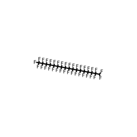 FC(F)C(F)(F)C(F)(F)C(F)(F)C(F)(F)C(F)(F)C(F)(F)C(F)(F)C(F)(F)C(F)(F)C(F)(F)C(F)(F)C(F)(F)C(F)(F)C(F)(F)C(F)(F)C(F)(F)F